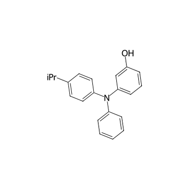 CC(C)c1ccc(N(c2ccccc2)c2cccc(O)c2)cc1